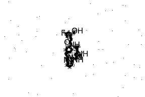 O=C(CN1C[C@H](F)C[C@H]1CO)Nc1ccc(Sc2nc(Nc3cc(C4CC4)[nH]n3)n3cccc3n2)cc1